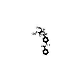 CC(C)C[C@@H](NS(=O)(=O)c1ccc(NC(=O)c2ccccc2)cc1)C(=O)OC(C)(C)C